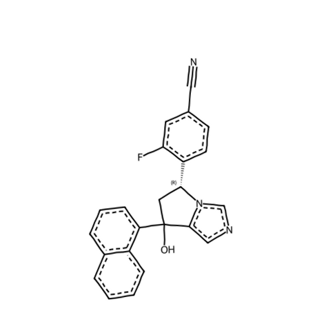 N#Cc1ccc([C@H]2CC(O)(c3cccc4ccccc34)c3cncn32)c(F)c1